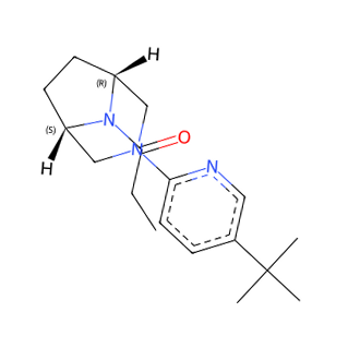 CCC(=O)N1[C@@H]2CC[C@H]1CN(c1ccc(C(C)(C)C)cn1)C2